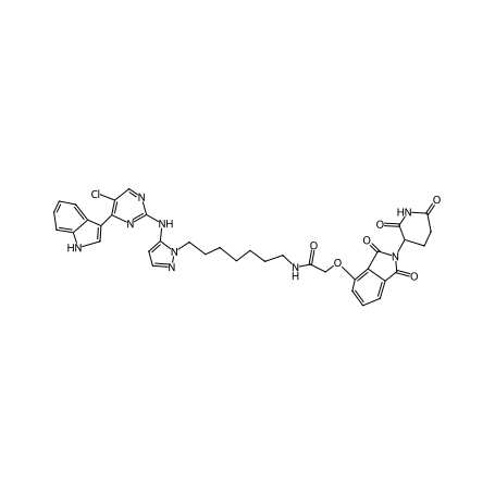 O=C(COc1cccc2c1C(=O)N(C1CCC(=O)NC1=O)C2=O)NCCCCCCCn1nccc1Nc1ncc(Cl)c(-c2c[nH]c3ccccc23)n1